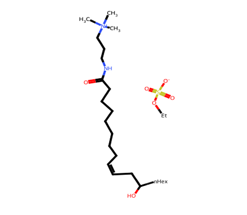 CCCCCCC(O)C/C=C\CCCCCCCC(=O)NCCC[N+](C)(C)C.CCOS(=O)(=O)[O-]